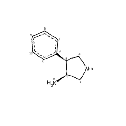 N[C@@H]1C[N]C[C@@H]1c1ccccc1